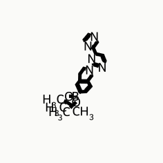 CC1(C)OB(c2ccc3c(c2)CCN(c2nccc(-c4cnccn4)n2)C3)OC1(C)C